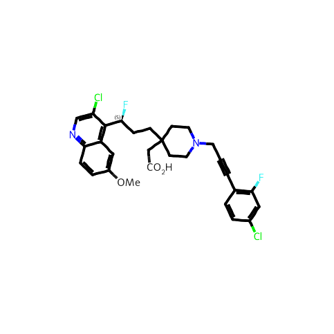 COc1ccc2ncc(Cl)c([C@@H](F)CCC3(CC(=O)O)CCN(CC#Cc4ccc(Cl)cc4F)CC3)c2c1